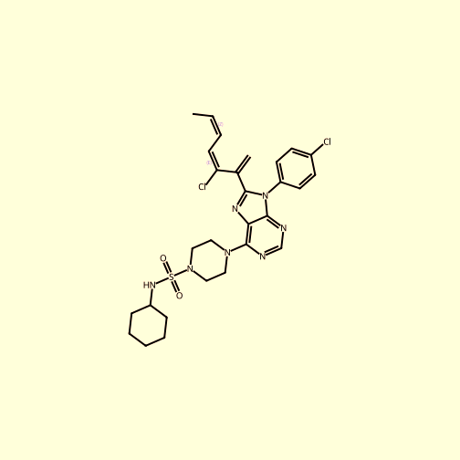 C=C(/C(Cl)=C\C=C/C)c1nc2c(N3CCN(S(=O)(=O)NC4CCCCC4)CC3)ncnc2n1-c1ccc(Cl)cc1